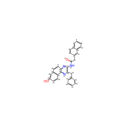 O=C(Cc1ccc2ccccc2c1)Nc1nc2ccc3cc(O)ccc3c2nc1Cc1ccccc1